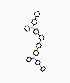 C1=CCCC(N(C2=CCC(C3=CCCC=C3)C=C2)c2ccc(C3C=C(c4ccc(-c5ccc(N(c6ccccc6)c6ccc(-c7ccccc7)cc6)cc5)cc4)C=CC3)cc2)=C1